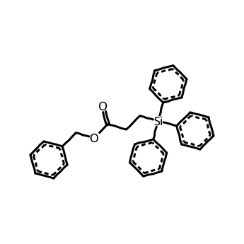 O=C(CC[Si](c1ccccc1)(c1ccccc1)c1ccccc1)OCc1ccccc1